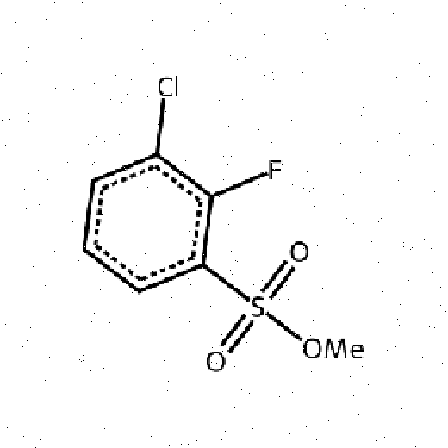 [CH2]OS(=O)(=O)c1cccc(Cl)c1F